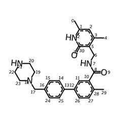 Cc1cc(C)c(CNC(=O)c2cc(-c3ccc(CN4CCNCC4)cc3)ccc2C)c(=O)[nH]1